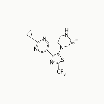 C[C@@H]1CN(c2sc(C(F)(F)F)nc2-c2cnc(C3CC3)nc2)CCN1